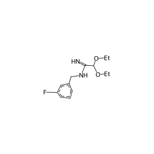 CCOC(OCC)C(=N)NCc1cccc(F)c1